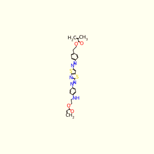 C=CC(=O)OCCNc1ccc(/N=N/c2nc3sc(/N=N/c4ccc(CCOC(=O)C(=C)C)cc4)cc3s2)cc1